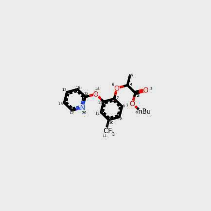 CCCCOC(=O)C(C)Oc1ccc(C(F)(F)F)cc1Oc1ccccn1